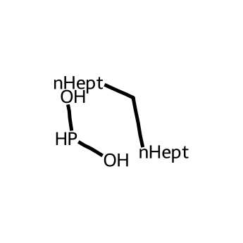 CCCCCCCCCCCCCCC.OPO